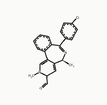 C[C@@H]1N=C(c2ccc(Cl)cc2)c2ccccc2C2=CN(C)C(C=O)C=C21